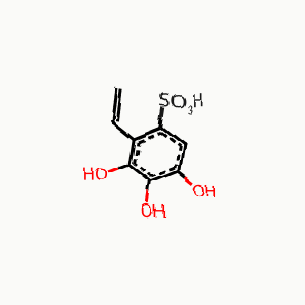 C=Cc1c(S(=O)(=O)O)cc(O)c(O)c1O